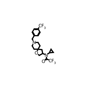 O=C(N(C1CC1)C1COC2(CCN(Cc3ccc(C(F)(F)F)cc3)CC2)C1)C(F)(F)F